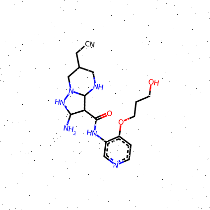 N#CCC1CNC2C(C(=O)Nc3cnccc3OCCCO)C(N)NN2C1